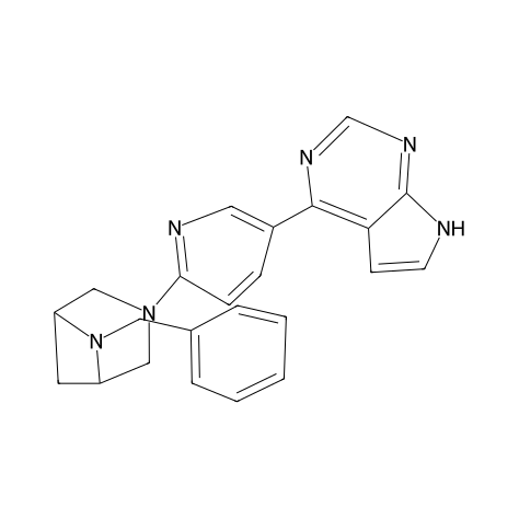 c1ccc(CN2C3CC2CN(c2ccc(-c4ncnc5[nH]ccc45)cn2)C3)cc1